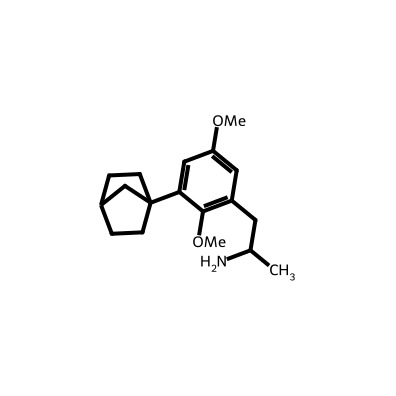 COc1cc(CC(C)N)c(OC)c(C23CCC(CC2)C3)c1